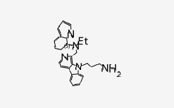 CCN(Cc1nccc2c3ccccc3n(CCCN)c12)[C@H]1CCCc2cccnc21